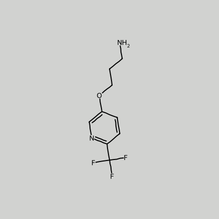 NCCCOc1ccc(C(F)(F)F)nc1